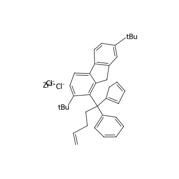 C=CCCC(C1=CC=CC1)(c1ccccc1)c1c(C(C)(C)C)ccc2c1Cc1cc(C(C)(C)C)ccc1-2.[Cl-].[Cl-].[Zr+2]